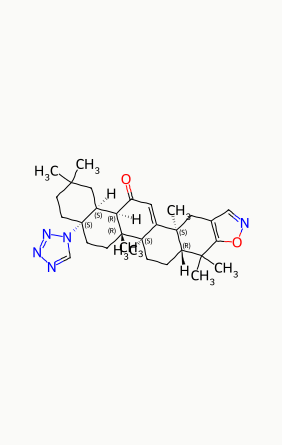 CC1(C)CC[C@]2(n3cnnn3)CC[C@]3(C)[C@H](C(=O)C=C4[C@@]5(C)Cc6cnoc6C(C)(C)[C@@H]5CC[C@]43C)[C@@H]2C1